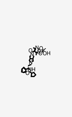 Cc1nc(O[C@@H](C)C(=O)O)nc(C)c1C(=O)N1CC2CN(CC[C@H](NC(=O)C3CCCC3)c3ccccc3)CC2C1